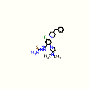 CN(C)[C@@H]1CCN(c2cc(N3CCC(Cc4ccccc4)CC3)c(F)cc2C=NNC(N)=S)C1